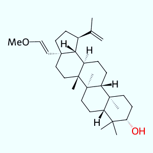 C=C(C)[C@@H]1CC[C@]2(/C=C/OC)CC[C@]3(C)[C@H](CC[C@@H]4[C@@]5(C)CC[C@H](O)C(C)(C)[C@@H]5CC[C@]43C)[C@@H]12